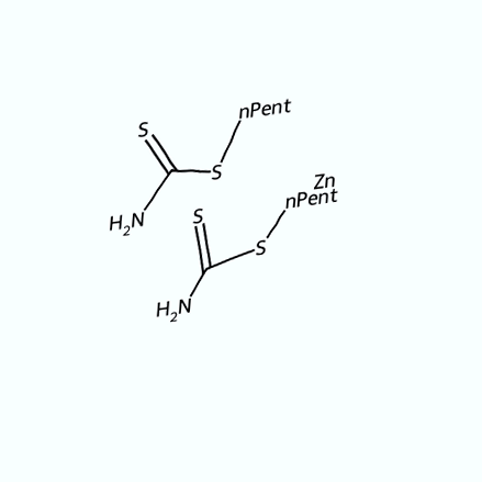 CCCCCSC(N)=S.CCCCCSC(N)=S.[Zn]